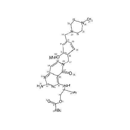 CCCCC(=O)OCC(CCC)Nc1nc(N)nc2ccn(Cc3ccc(CN4CCN(C)CC4)cc3OC)c(=O)c12